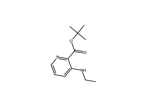 CCNc1cccnc1C(=O)OC(C)(C)C